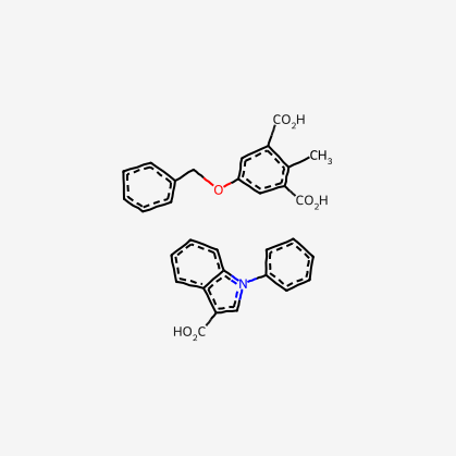 Cc1c(C(=O)O)cc(OCc2ccccc2)cc1C(=O)O.O=C(O)c1cn(-c2ccccc2)c2ccccc12